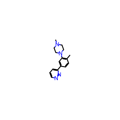 Cc1ccc(-c2cccnn2)cc1N1CCN(C)CC1